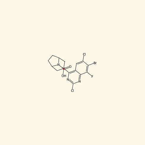 O=C(O)N1C2CCC1CN(c1nc(Cl)nc3c(F)c(Br)c(Cl)cc13)C2